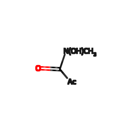 CC(=O)C(=O)N(C)O